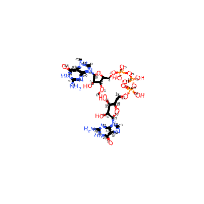 COC1C(COP(=O)(O)OP(=O)(O)OP(=O)(O)OCC2OC(n3cnc4c(=O)[nH]c(N)nc43)C(O)C2O)OC(n2c[n+](C)c3c(=O)[nH]c(N)nc32)C1O